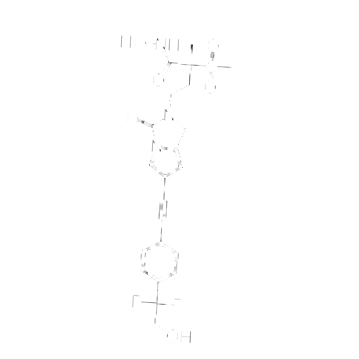 C[C@@](CCN1Cc2cc(C#Cc3ccc(C(F)(F)CO)cc3)cn2C1=O)(C(=O)NO)S(C)(=O)=O